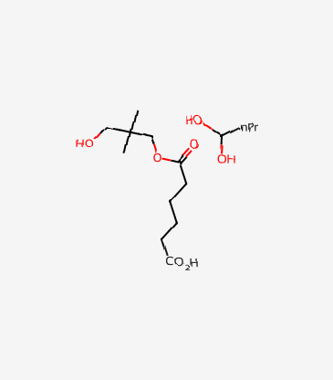 CC(C)(CO)COC(=O)CCCCC(=O)O.CCCC(O)O